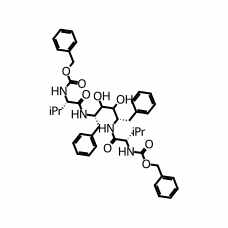 CC(C)[C@H](NC(=O)OCc1ccccc1)C(=O)N[C@@H](Cc1ccccc1)C(O)C(O)[C@H](Cc1ccccc1)NC(=O)[C@@H](NC(=O)OCc1ccccc1)C(C)C